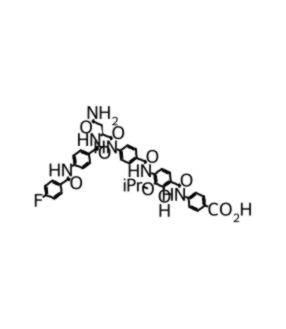 CC(C)Oc1c(NC(=O)c2ccc(NC(=O)[C@H](CC(N)=O)NC(=O)c3ccc(NC(=O)c4ccc(F)cc4)cc3)cc2)ccc(C(=O)Nc2ccc(C(=O)O)cc2)c1O